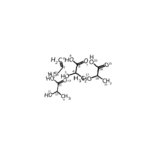 C=C[SiH3].CC(O)C(=O)O.CC(O)C(=O)O.CC(O)C(=O)O